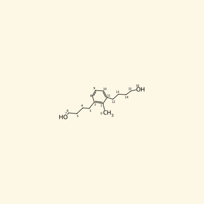 Cc1c(CCCCO)cccc1CCCCO